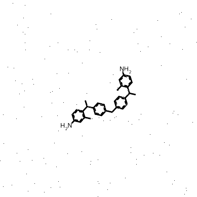 Cc1cc(N)ccc1C(C)c1ccc(Cc2ccc(C(C)c3ccc(N)cc3C)cc2)cc1